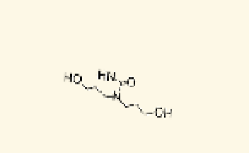 [NH]C(=O)N(CCCO)CCCO